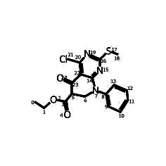 CCOC(=O)C1CN(c2ccccc2)c2nc(SC)nc(Cl)c2C1=O